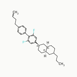 C=CCCc1ccc(-c2c(F)cc([C@@H]3CC[C@@H]4CC(CCC)CC[C@@H]4C3)cc2F)cc1